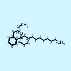 CCCCCCCCN1CCC[C@@]2(C1)O[C@@H](OC)Cc1ccccc12